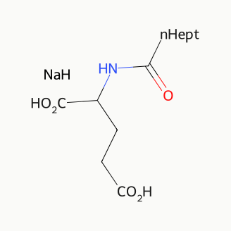 CCCCCCCC(=O)NC(CCC(=O)O)C(=O)O.[NaH]